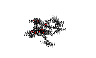 C[Si](C)(CCO[SiH](O)O)O[Si]12O[SiH](OCCC[Si](O)(O)O)O[Si]3(O[Si](C)(C)CCC[Si](O)(O)O)O[Si]4(O[Si](C)(C)CC[Si](O)(O)O)O[Si](O)(OCCC[Si](O)(O)O)O[Si](OCCC[Si](O)(O)O)(O1)O[Si](O[Si](C)(C)CCO[SiH](O)O)(O4)O[Si](OCCCO[SiH](O)O)(O2)O3